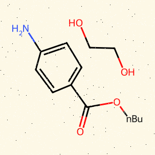 CCCCOC(=O)c1ccc(N)cc1.OCCO